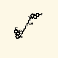 CC(C)C1=CC2=CCC3C(C)(C(=O)OCC(O)COCCOCC(O)COC(=O)C4(C)CCCC5(C)C6CCC(C(C)C)=CC6=CCC45)CCCC3(C)C2CC1